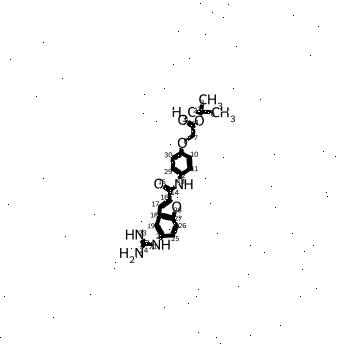 CC(C)(C)OC(=O)COc1ccc(NC(=O)c2cc3cc(NC(=N)N)ccc3o2)cc1